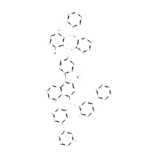 CC1(C)c2cc3c(cc2-c2c1cc(N(c1cccc(-c4ccccc4)c1)c1cccc(-c4ccccc4)c1)c1ccccc21)Oc1cccc2c1B3c1ccccc1N2c1ccccc1